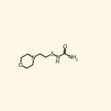 NC(=O)NSCCN1CCOCC1